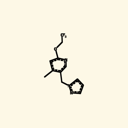 Cc1cc(OCC(F)(F)F)ncc1Cn1cccn1